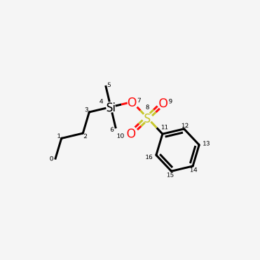 CCCC[Si](C)(C)OS(=O)(=O)c1ccccc1